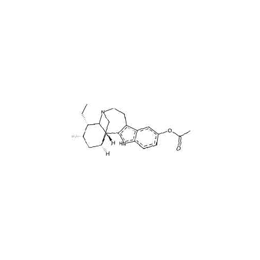 CC[C@@H]1C2[C@@H]3c4[nH]c5ccc(OC(C)=O)cc5c4CCN2C[C@@H]3C[C@@H]1C